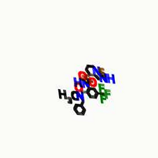 CN(Cc1ccccc1)C(=O)c1ccc(C(F)(F)F)cc1NS(=O)(=O)C1=CC=CN2SNC=C12